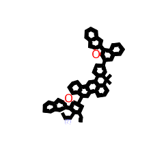 C=Cc1cc(-c2cc3c4cccc5c4c(cc3c3ccccc23)-c2ccc(-c3cc4ccccc4c4c3oc3cc6ccccc6cc34)cc2C5(C)C)c2oc3cc4ccccc4cc3c2c1/C=C\C